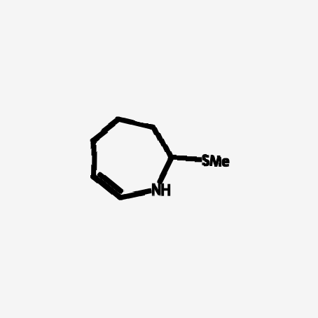 CSC1CCCC=CN1